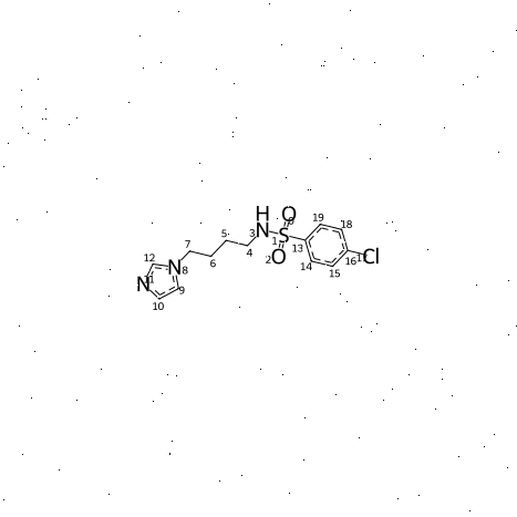 O=S(=O)(NCCCCn1ccnc1)c1ccc(Cl)cc1